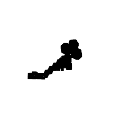 CCCCCCCCCCCCCCCCCCOCC(COC(c1ccccc1)(c1ccccc1)c1ccccc1)OC(=O)OC(C)C